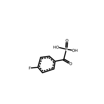 O=C(c1ccc(F)cc1)P(=O)(O)O